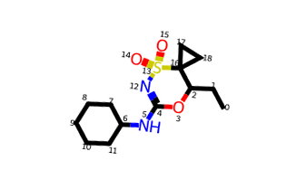 CCC1OC(NC2CCCCC2)=NS(=O)(=O)C12CC2